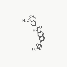 Cc1ncc(-c2ccc3cnc(NC(=O)[C@H]4CC[C@@H](N(C)C)CC4)nc3c2)o1